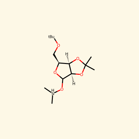 C[SiH](C)OC1O[C@@H](COC(C)(C)C)[C@H]2OC(C)(C)O[C@@H]12